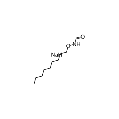 CCCCCCCCCONC=O.[NaH]